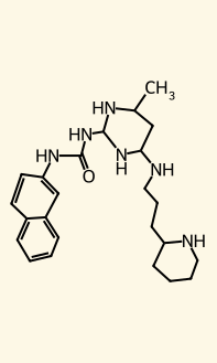 CC1CC(NCCCC2CCCCN2)NC(NC(=O)Nc2ccc3ccccc3c2)N1